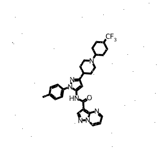 Cc1ccc(-n2nc(C3CCN(C4CCC(C(F)(F)F)CC4)CC3)cc2NC(=O)c2cnn3cccnc23)cc1